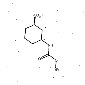 CC(C)(C)OC(=O)NC1CCC[C@@H](C(=O)O)C1